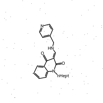 CCCCCCCN1C(=O)/C(=C/NCc2ccncc2)C(=O)c2ccccc21